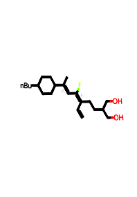 C=C/C(CCC(CO)CO)=C(F)\C=C(/C)C1CCC(CCCC)CC1